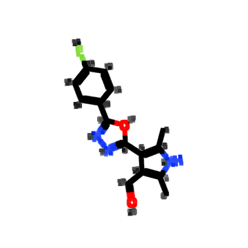 Cc1[nH]c(C)c(-c2nnc(-c3ccc(F)cc3)o2)c1C=O